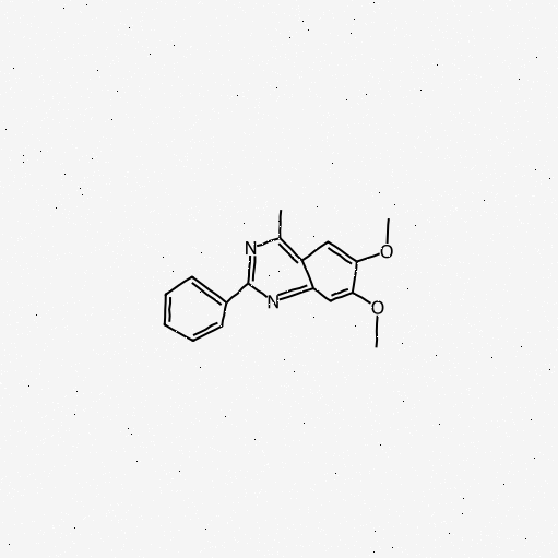 COc1cc2nc(-c3ccccc3)nc(C)c2cc1OC